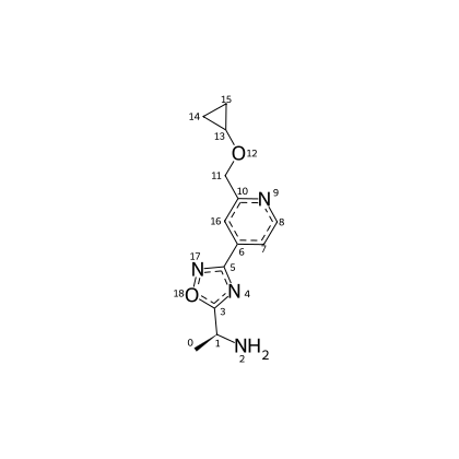 C[C@H](N)c1nc(-c2ccnc(COC3CC3)c2)no1